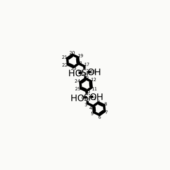 O[Si](O)(Cc1ccccc1)c1ccc([Si](O)(O)Cc2ccccc2)cc1